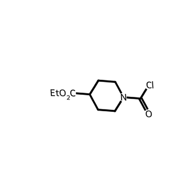 CCOC(=O)C1CCN(C(=O)Cl)CC1